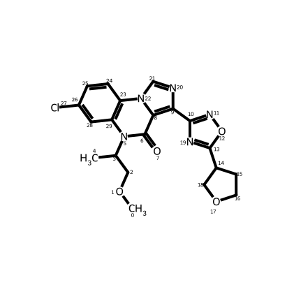 COCC(C)n1c(=O)c2c(-c3noc(C4CCOC4)n3)ncn2c2ccc(Cl)cc21